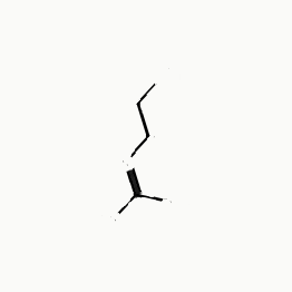 NC(N)=NCC[SeH]